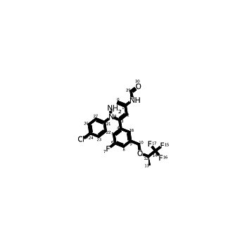 C=C(/C=C(/c1cc(F)cc(CO[C@H](C)C(F)(F)F)c1)N(N)c1ccc(Cl)cc1)NC=O